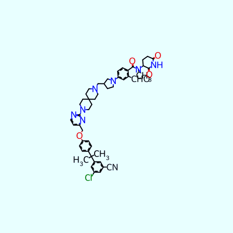 CN(C(=O)c1ccc(N2CCC(CN3CCC4(CC3)CCN(c3nccc(COc5ccc(C(C)(C)c6cc(Cl)cc(C#N)c6)cc5)n3)CC4)C2)cc1C=O)C1CCC(=O)NC1=O